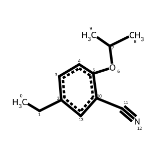 CCc1ccc(OC(C)C)c(C#N)c1